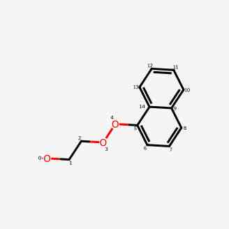 [O]CCOOc1cccc2ccccc12